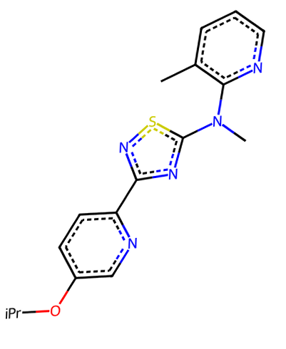 Cc1cccnc1N(C)c1nc(-c2ccc(OC(C)C)cn2)ns1